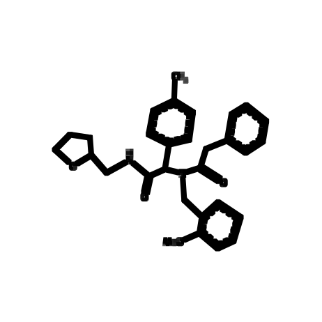 COc1ccccc1CN(C(=O)Cc1ccccc1)C(C(=O)NCC1CCCO1)c1ccc(C)cc1